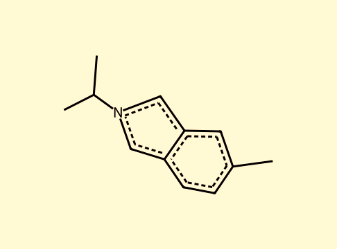 Cc1ccc2cn(C(C)C)cc2c1